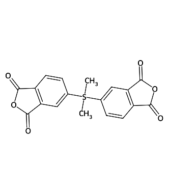 CS(C)(c1ccc2c(c1)C(=O)OC2=O)c1ccc2c(c1)C(=O)OC2=O